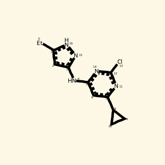 CCc1cc(Nc2cc(C3CC3)nc(Cl)n2)n[nH]1